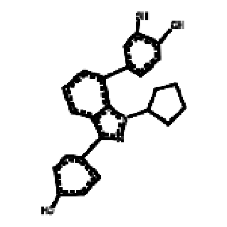 Oc1ccc(-c2nn(C3CCCC3)c3c(-c4ccc(O)c(O)c4)cccc23)cc1